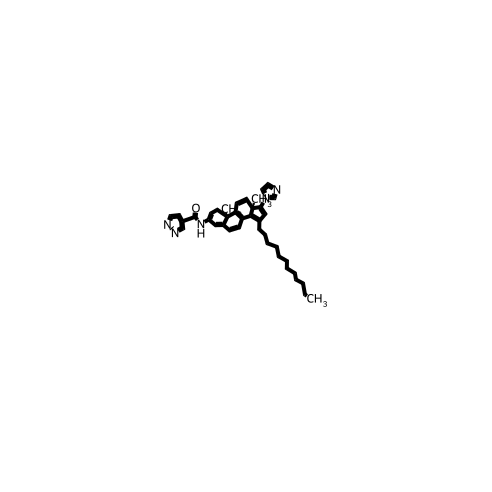 CCCCCCCCCCCCC1=C2C3=C(C=C[C@]2(C)C(n2ccnc2)=C1)[C@]1(C)CC=C(NC(=O)c2ccnnc2)C=C1C=C3